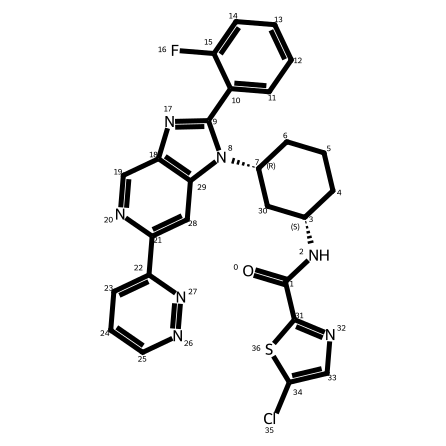 O=C(N[C@H]1CCC[C@@H](n2c(-c3ccccc3F)nc3cnc(-c4cccnn4)cc32)C1)c1ncc(Cl)s1